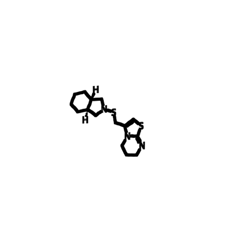 C1=C(CSN2C[C@H]3CCCC[C@@H]3C2)N2CCCN=C2S1